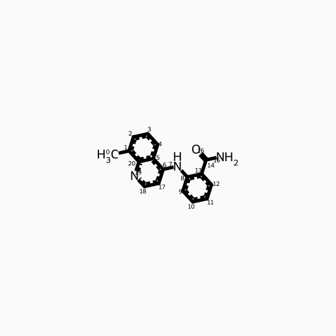 Cc1cccc2c(Nc3ccccc3C(N)=O)ccnc12